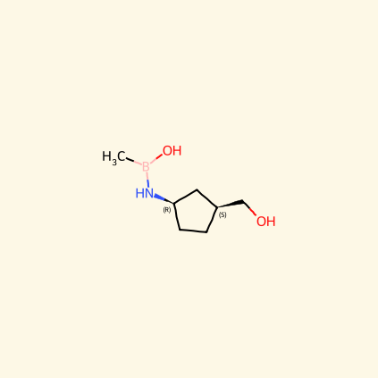 CB(O)N[C@@H]1CC[C@H](CO)C1